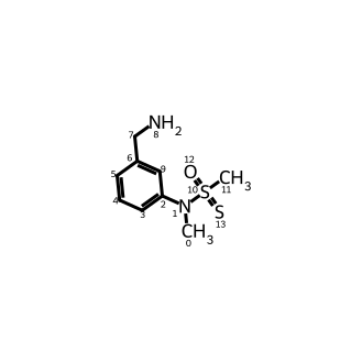 CN(c1cccc(CN)c1)S(C)(=O)=S